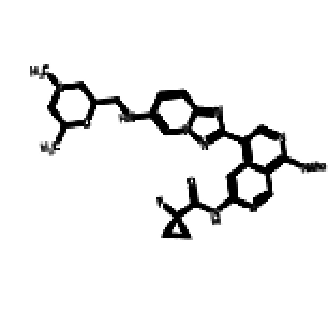 CNc1ncc(-c2nc3ccc(NCC4CN(C)CC(C)O4)cn3n2)c2cc(NC(=O)C3(F)CC3)ncc12